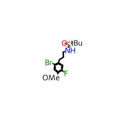 COc1cc(Br)c(CCCN[S@@+]([O-])C(C)(C)C)cc1F